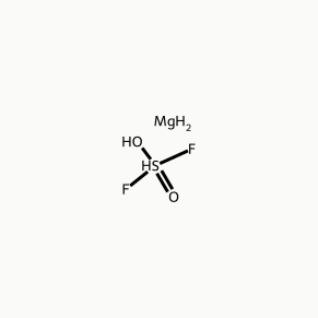 O=[SH](O)(F)F.[MgH2]